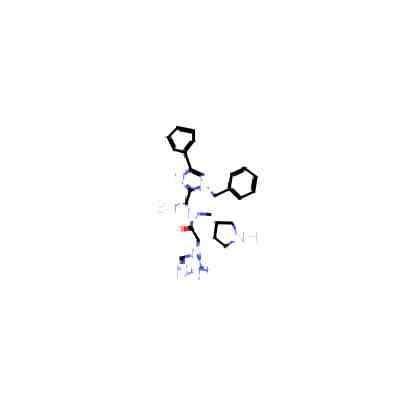 CC(C)(C)[C@H](c1nc(-c2ccccc2)cn1Cc1ccccc1)N(C[C@H]1CCNC1)C(=O)Cn1cnnn1